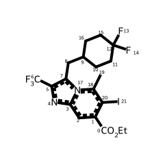 CCOC(=O)c1cc2nc(C(F)(F)F)c(CC3CCC(F)(F)CC3)n2c(C)c1I